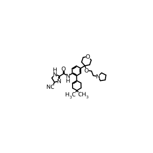 CC1(C)CC=C(c2cc(C3(OCCN4CCCC4)CCOCC3)ccc2NC(=O)C2=NC(C#N)CN2)CC1